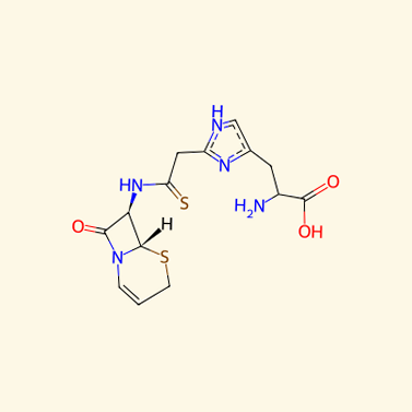 NC(Cc1c[nH]c(CC(=S)N[C@@H]2C(=O)N3C=CCS[C@@H]23)n1)C(=O)O